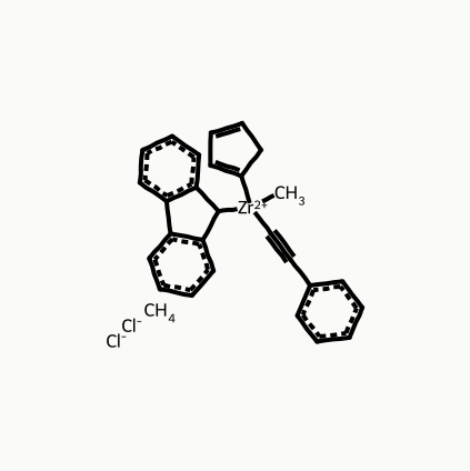 C.[CH3][Zr+2]([C]#Cc1ccccc1)([C]1=CC=CC1)[CH]1c2ccccc2-c2ccccc21.[Cl-].[Cl-]